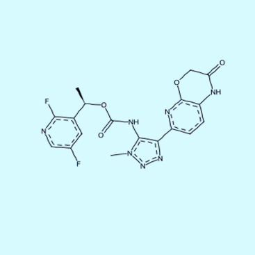 C[C@@H](OC(=O)Nc1c(-c2ccc3c(n2)OCC(=O)N3)nnn1C)c1cc(F)cnc1F